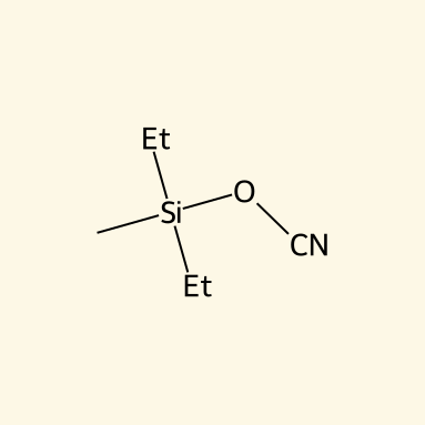 CC[Si](C)(CC)OC#N